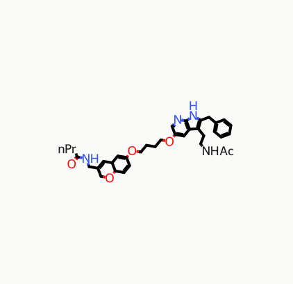 CCCC(=O)NCC1=CC2C=C(OCCCCOc3cnc4[nH]c(Cc5ccccc5)c(CCNC(C)=O)c4c3)C=CC2OC1